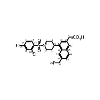 O=C(O)Cc1cc(C2CCN(S(=O)(=O)c3ccc(Cl)cc3Cl)CC2)c2cc(CF)ccc2c1